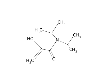 C=C(O)C(=O)N(C(C)C)C(C)C